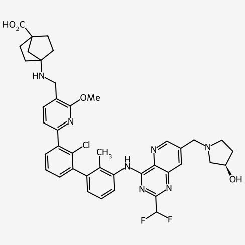 COc1nc(-c2cccc(-c3cccc(Nc4nc(C(F)F)nc5cc(CN6CC[C@@H](O)C6)cnc45)c3C)c2Cl)ccc1CNC12CCC(C(=O)O)(CC1)C2